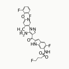 Cc1cc(Oc2c(F)cccc2F)ncc1-n1ncc(C(=O)c2cc3cc(F)c(NS(=O)(=O)CCCF)cc3[nH]2)c1N